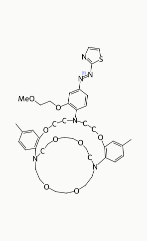 COCCOc1cc(/N=N/c2nccs2)ccc1N1CCOc2cc(C)ccc2N2CCOCCOCCN(CCOCCOCC2)c2ccc(C)cc2OCC1